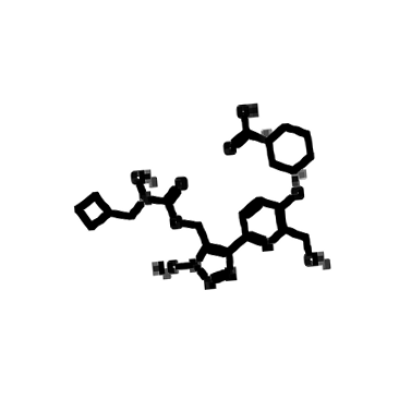 CCc1nc(-c2nnn(C)c2COC(=O)N(C)CC2CCC2)ccc1O[C@H]1CCC[C@H](C(=O)O)C1